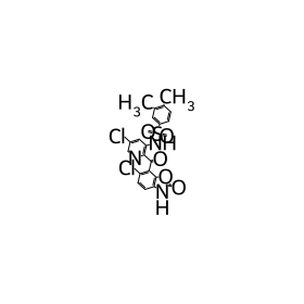 Cc1ccc(S(=O)(=O)Nc2cc(Cl)cnc2C(=O)c2c(Cl)ccc3[nH]c(=O)oc23)cc1C